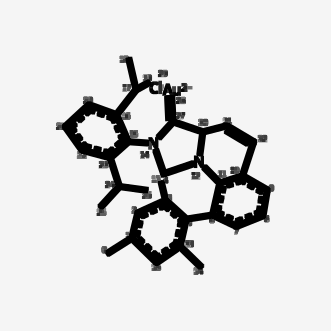 Cc1cc(C)c(-c2cccc3c2N2CN(c4c(C(C)C)cccc4C(C)C)[C](=[Au-2][Cl])C2C=C3)c(C)c1